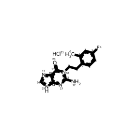 Cc1cc(F)ccc1CCn1c(N)nc2[nH]cnc2c1=O.Cl